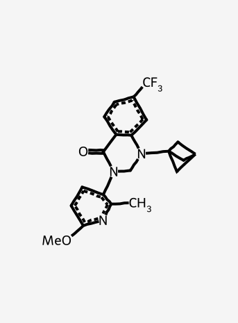 COc1ccc(N2CN(C34CC(C3)C4)c3cc(C(F)(F)F)ccc3C2=O)c(C)n1